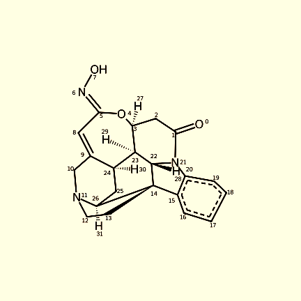 O=C1C[C@@H]2OC(=NO)C=C3CN4CC[C@]56c7ccccc7N1[C@H]5[C@H]2[C@H]3C[C@H]46